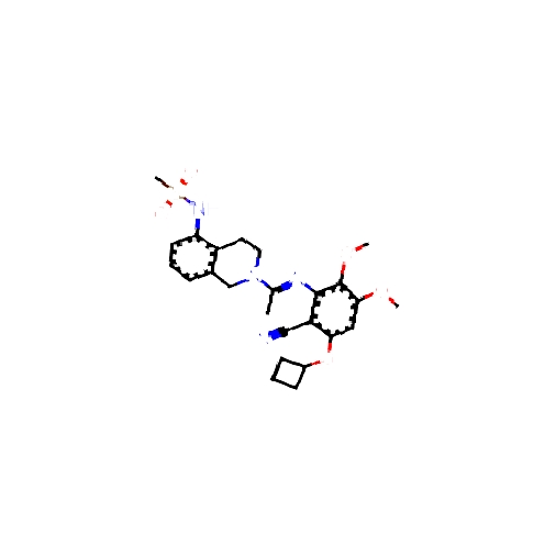 COc1cc(OC2CCC2)c(C#N)c(N=C(C)N2CCc3c(cccc3NS(C)(=O)=O)C2)c1OC